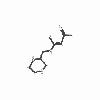 CC(=O)/C=C(\C)OCC1COCCO1